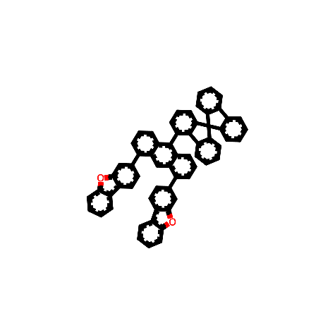 c1ccc2c(c1)-c1ccccc1C21c2ccccc2-c2c(-c3c4cccc(-c5ccc6c(c5)oc5ccccc56)c4cc4c(-c5ccc6c(c5)oc5ccccc56)cccc34)cccc21